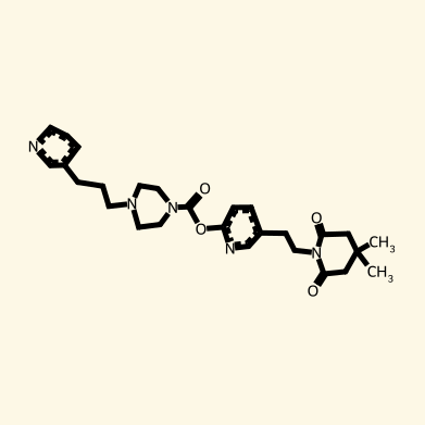 CC1(C)CC(=O)N(CCc2ccc(OC(=O)N3CCN(CCCc4cccnc4)CC3)nc2)C(=O)C1